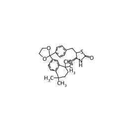 CC1(C)CCC(C)(C)c2cc(C3(c4ccc(CC5SC(=O)NC5=O)cc4)OCCO3)ccc21